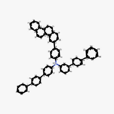 c1ccc(-c2ccc(-c3ccc(N(c4ccc(-c5ccc6ccc7c8ccccc8ccc7c6c5)cc4)c4cccc(-c5ccc(-c6ccccc6)cc5)c4)cc3)cc2)cc1